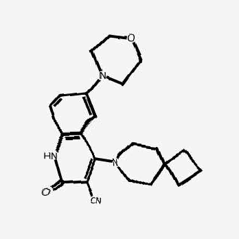 N#Cc1c(N2CCC3(CCC3)CC2)c2cc(N3CCOCC3)ccc2[nH]c1=O